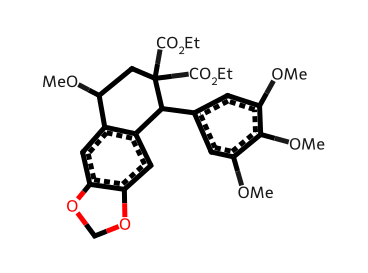 CCOC(=O)C1(C(=O)OCC)CC(OC)c2cc3c(cc2C1c1cc(OC)c(OC)c(OC)c1)OCO3